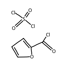 O=C(Cl)c1ccco1.O=S(=O)(Cl)Cl